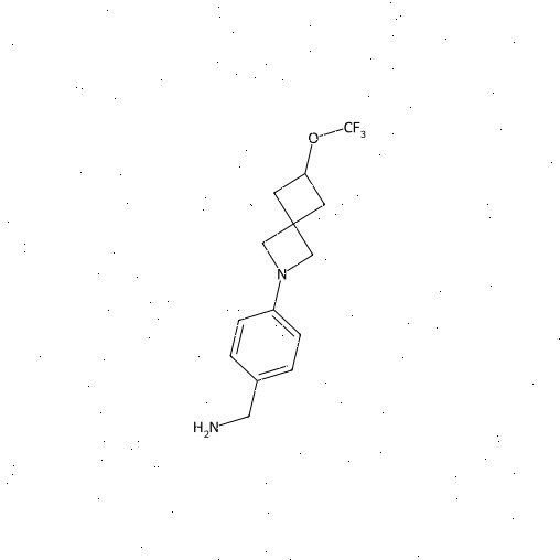 NCc1ccc(N2CC3(CC(OC(F)(F)F)C3)C2)cc1